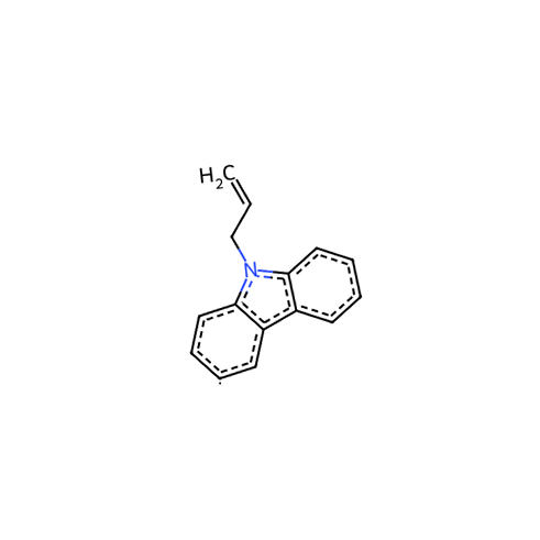 C=CCn1c2cc[c]cc2c2ccccc21